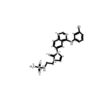 CCc1cccc(Nc2ncnc3ccc(-n4ccn(CCNS(C)(=O)=O)c4=O)cc23)c1